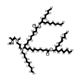 C=N/C(C)=C\N(C)CCCN(CCCCCCCCCC)C(CCCCCCCCC(=O)OCC(CCCCCC)CCCCCCCC)CCCCCCCCC(=O)OCC(CCCCCC)CCCCCCCC